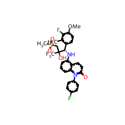 COc1ccc([C@H](Nc2cccc3c2ccc(=O)n3-c2ccc(F)cc2)C(O)(CS(C)(=O)=O)C(F)(F)F)c(C)c1F